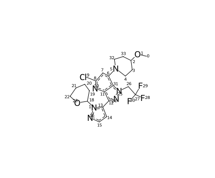 COC1CCN(c2cc(Cl)nc3c(-c4ccnn4C4CCCCO4)nn(CC(F)(F)F)c23)CC1